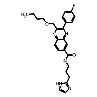 CCCCOCc1nc2ccc(C(=O)NCCCc3ncc[nH]3)cc2nc1-c1ccc(F)cc1